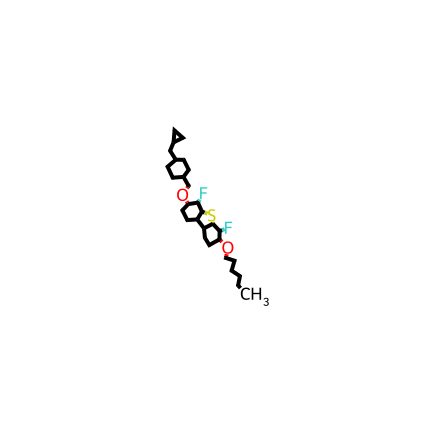 CCCCCCOC1CCC2C3CCC(OCC4CCC(CC5CC5)CC4)C(F)C3SC2C1F